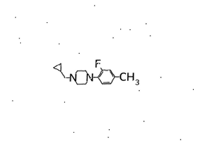 Cc1ccc(N2CCN(CC3CC3)CC2)c(F)c1